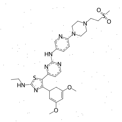 CCNc1nc(C2C=C(OC)C=C(OC)C2)c(-c2ccnc(Nc3ccc(N4CCN(CCS(C)(=O)=O)CC4)nc3)n2)s1